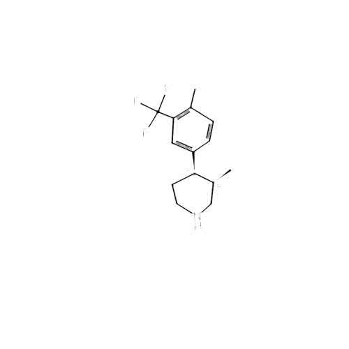 Cc1ccc([C@@H]2CCNC[C@@H]2C)cc1C(F)(F)F